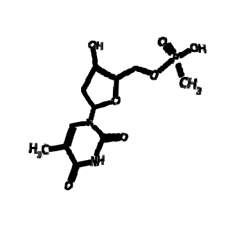 Cc1cn(C2CC(O)C(COP(C)(=O)O)O2)c(=O)[nH]c1=O